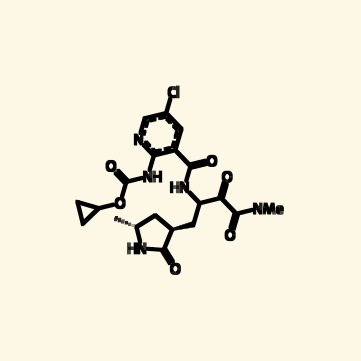 CNC(=O)C(=O)C(C[C@@H]1C[C@@H](C)NC1=O)NC(=O)c1cc(Cl)cnc1NC(=O)OC1CC1